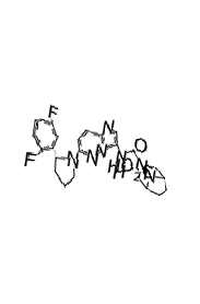 O=C(Nc1cnc2ccc(N3CCC[C@@H]3c3cc(F)ccc3F)nn12)N1CC2CCC(C1)N2C(=O)O